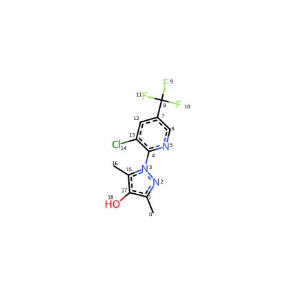 Cc1nn(-c2ncc(C(F)(F)F)cc2Cl)c(C)c1O